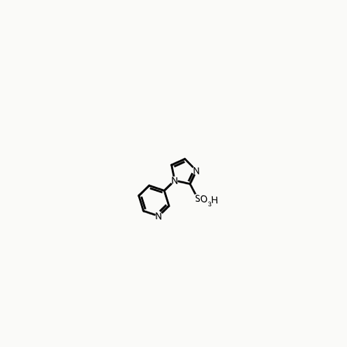 O=S(=O)(O)c1nccn1-c1cccnc1